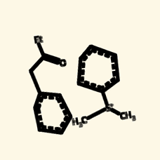 CCC(=O)Cc1ccccc1.C[S+](C)c1ccccc1